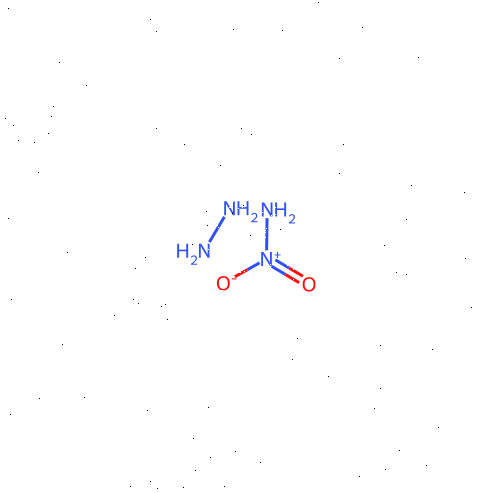 NN.N[N+](=O)[O-]